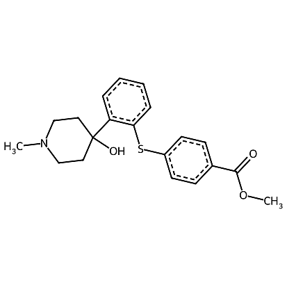 COC(=O)c1ccc(Sc2ccccc2C2(O)CCN(C)CC2)cc1